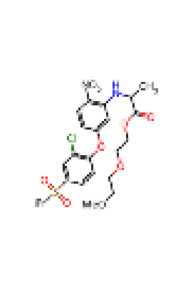 COCCOCCOC(=O)C(C)Nc1cc(Oc2ccc(S(=O)(=O)C(C)C)cc2Cl)ccc1[N+](=O)[O-]